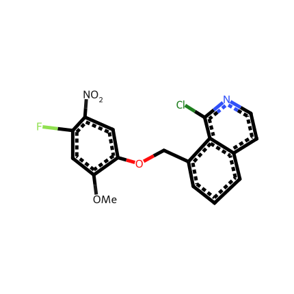 COc1cc(F)c([N+](=O)[O-])cc1OCc1cccc2ccnc(Cl)c12